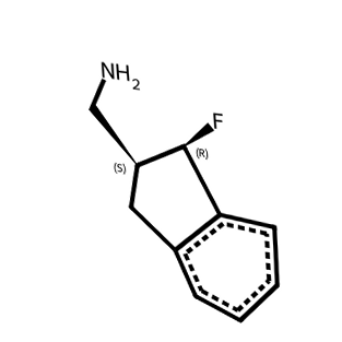 NC[C@@H]1Cc2ccccc2[C@@H]1F